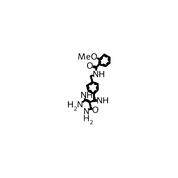 COc1ccccc1C(=O)NCc1ccc(C(=N)C(C(N)=O)=C(N)N)cc1